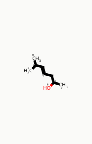 CC(C)/C=C/CC(C)O